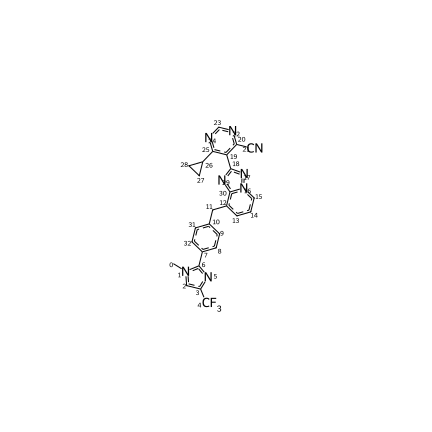 Cn1cc(C(F)(F)F)nc1-c1ccc(Cc2cccn3nc(-c4c(C#N)ncnc4C4CC4)nc23)cc1